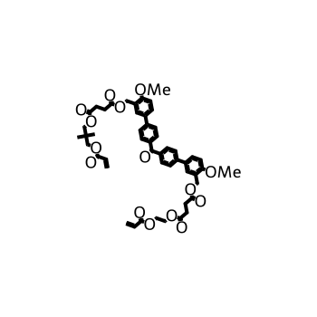 C=CC(=O)OCCOC(=O)CCC(=O)OCc1cc(-c2ccc(C(=O)c3ccc(-c4ccc(OC)c(COC(=O)CCC(=O)OCC(C)(C)COC(=O)C=C)c4)cc3)cc2)ccc1OC